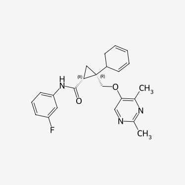 Cc1ncc(OC[C@@]2(C3C=CC=CC3)C[C@H]2C(=O)Nc2cccc(F)c2)c(C)n1